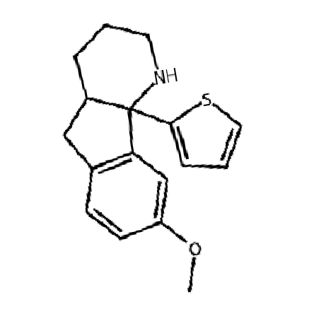 COc1ccc2c(c1)C1(c3cccs3)NCCCC1C2